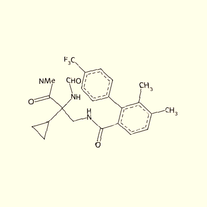 CNC(=O)C(CNC(=O)c1ccc(C)c(C)c1-c1ccc(C(F)(F)F)cc1)(NC=O)C1CC1